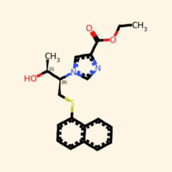 CCOC(=O)c1cn([C@@H](CSc2cccc3ccccc23)[C@H](C)O)cn1